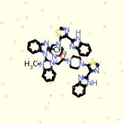 Cc1nc2ccccc2n1C1N(C)c2ccccc2[N+]1(CC(=O)N1CCN(c2scnc2-c2nc3ccccc3[nH]2)CC1)N1CCN(c2scnc2-c2nc3ccccc3[nH]2)CC1